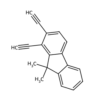 C#Cc1ccc2c(c1C#C)C(C)(C)c1ccccc1-2